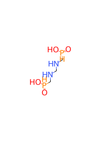 O=[PH](O)CNCNC[PH](=O)O